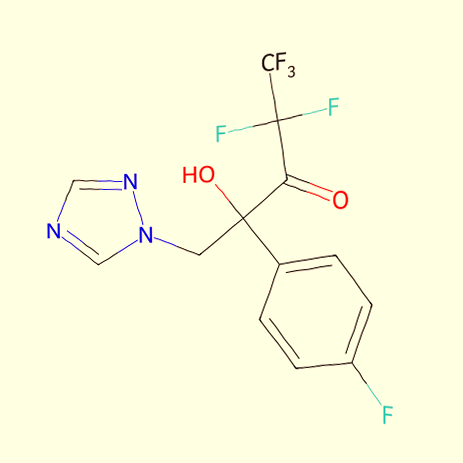 O=C(C(O)(Cn1cncn1)c1ccc(F)cc1)C(F)(F)C(F)(F)F